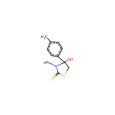 CCCN1C(=S)SCC1(O)c1ccc(C)cc1